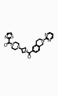 O=C(c1ccc2c(c1)CCN(c1ncccn1)C2)N1CC(N2CCN(C(=O)c3nccs3)CC2)C1